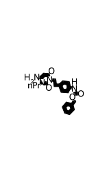 CCCn1c(N)cc(=O)n(CCc2ccc(NC(=O)OCc3ccccc3)cc2)c1=O